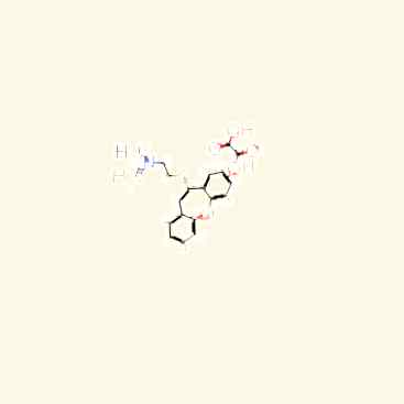 CN(C)CCSC1=Cc2ccccc2Oc2ccccc21.O=C(O)C(=O)O